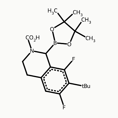 CC(C)(C)c1c(F)cc2c(c1F)C(B1OC(C)(C)C(C)(C)O1)N(C(=O)O)CC2